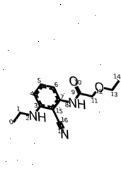 CCNc1cccc(NC(=O)COCC)c1C#N